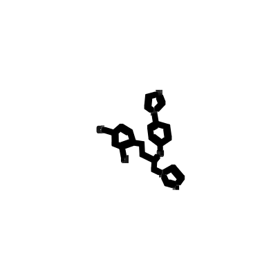 Clc1ccc(CCC(Cn2ccnc2)Oc2ccc(-n3ccnc3)cc2)c(Cl)c1